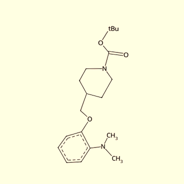 CN(C)c1ccccc1OCC1CCN(C(=O)OC(C)(C)C)CC1